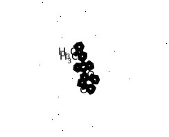 CC1(C)c2ccccc2-c2ccc(-c3c4ccccc4c(-c4cc5ccc6oc7ccccc7c6c5c5c4oc4ccccc45)c4ccccc34)cc21